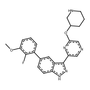 COc1cccc(-c2ccc3[nH]nc(-c4cncc(OC5CCCNC5)n4)c3c2)c1F